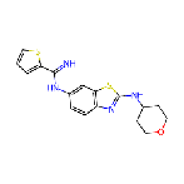 N=C(Nc1ccc2nc(NC3CCOCC3)sc2c1)c1cccs1